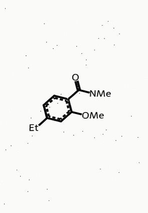 CCc1ccc(C(=O)NC)c(OC)c1